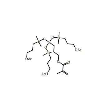 C=C(C)C(=O)OCCC[Si](O[Si](C)(C)CCCOC(C)=O)(O[Si](C)(C)CCCOC(C)=O)O[Si](C)(C)CCCOC(C)=O